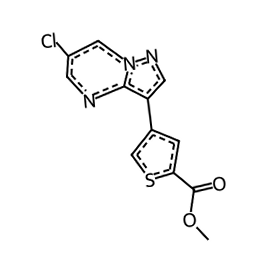 COC(=O)c1cc(-c2cnn3cc(Cl)cnc23)cs1